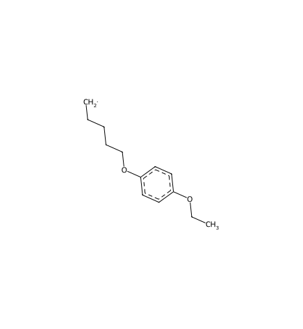 [CH2]CCCCOc1ccc(OCC)cc1